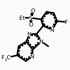 CCS(=O)(=O)c1ccc(F)nc1-c1nc2cc(C(F)(F)F)cnc2n1C